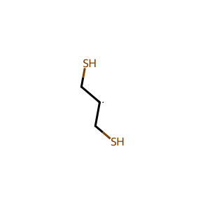 SC[CH]CS